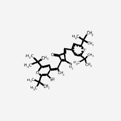 CC(=C1C=C(C(C)(C)C)OC(C(C)(C)C)=C1S)C1=C(N)C(=Cc2cc(C(C)(C)C)[s+]c(C(C)(C)C)c2)C1=O